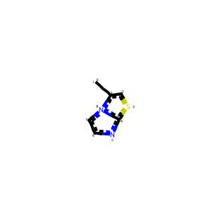 [CH]c1csc2nccn12